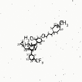 Cc1cc(OCCCC2CCN(C)CC2)ccc1-c1nc(-c2cccc(C(F)(F)F)c2)c(CC2CC2)[nH]1